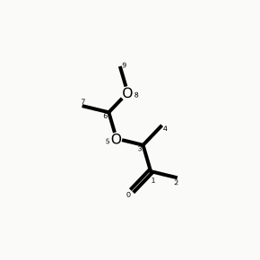 C=C(C)C(C)OC(C)OC